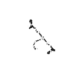 CN(CCOC(N)=O)CCOC(=O)N(C)CCCCCCn1c(=O)n(CCCCCCNC(=O)OCCOC(=O)CCc2cc(-n3nc4ccccc4n3)c(O)c(C(C)(C)C)c2)c(=O)n(CCCCCCNC(=O)OCCOC(=O)CCc2cc(-n3nc4ccccc4n3)c(O)c(C(C)(C)C)c2)c1=O